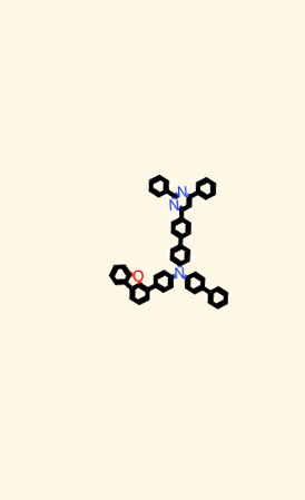 c1ccc(-c2ccc(N(c3ccc(-c4ccc(-c5cc(-c6ccccc6)nc(-c6ccccc6)n5)cc4)cc3)c3ccc(-c4cccc5c4oc4ccccc45)cc3)cc2)cc1